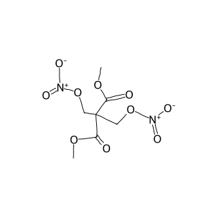 COC(=O)C(CO[N+](=O)[O-])(CO[N+](=O)[O-])C(=O)OC